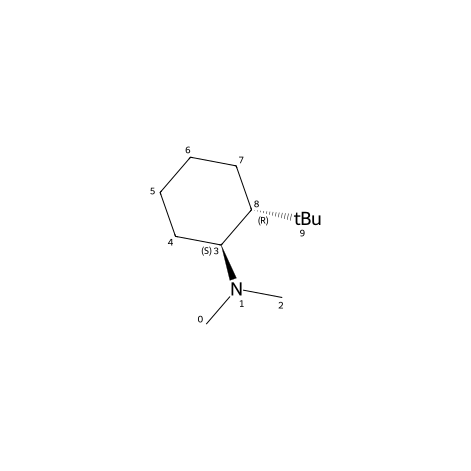 CN(C)[C@H]1CCCC[C@@H]1C(C)(C)C